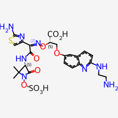 CC1(C)[C@H](NC(=O)/C(=N\O[C@@H](COc2ccc3nc(NCCN)ccc3c2)C(=O)O)c2csc(N)n2)C(=O)N1OS(=O)(=O)O